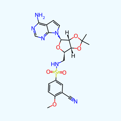 COc1ccc(S(=O)(=O)NC[C@H]2O[C@@H](n3ccc4c(N)ncnc43)[C@@H]3OC(C)(C)O[C@@H]32)cc1C#N